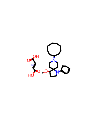 COC1CCN(c2ccccc2)C12CCN(C1CCCCCCCC1)CC2.O=C(O)/C=C/C(=O)O